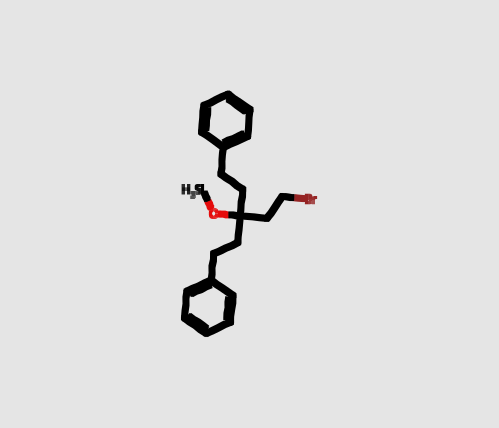 [SiH3]OC(CCBr)(CCc1ccccc1)CCc1ccccc1